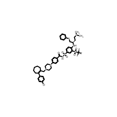 CN(C)CC[C@H](CSc1ccccc1)Nc1ccc(S(=O)(=O)NC(=O)c2ccc(N3CCN(CC4=C(c5ccc(Cl)cc5)CCCCC4)CC3)cc2)cc1S(=O)(=O)C(F)(F)F